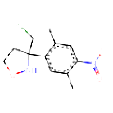 Cc1cc(C2(CCl)CCON2)c(C)cc1[N+](=O)[O-]